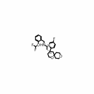 Fc1ccc([C@]2(CCNCc3ccccc3OC(F)F)CCOC3(CCOCC3)C2)nc1